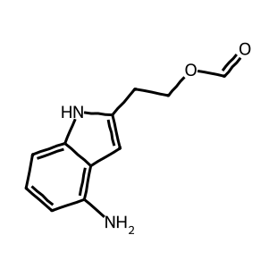 Nc1cccc2[nH]c(CCOC=O)cc12